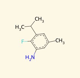 Cc1cc(N)c(F)c(C(C)C)c1